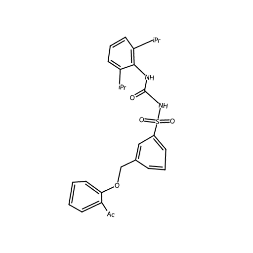 CC(=O)c1ccccc1OCc1cccc(S(=O)(=O)NC(=O)Nc2c(C(C)C)cccc2C(C)C)c1